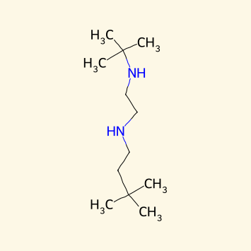 CC(C)(C)CCNCCNC(C)(C)C